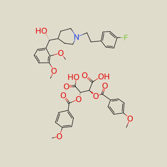 COc1ccc(C(=O)O[C@H](C(=O)O)[C@H](OC(=O)c2ccc(OC)cc2)C(=O)O)cc1.COc1cccc([C@H](O)C2CCN(CCc3ccc(F)cc3)CC2)c1OC